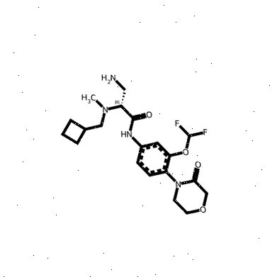 CN(CC1CCC1)[C@H](CN)C(=O)Nc1ccc(N2CCOCC2=O)c(OC(F)F)c1